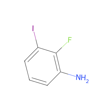 Nc1cccc(I)c1F